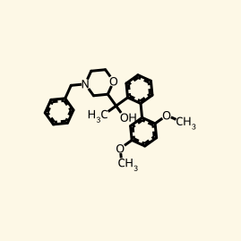 COc1ccc(OC)c(-c2ccccc2C(C)(O)C2CN(Cc3ccccc3)CCO2)c1